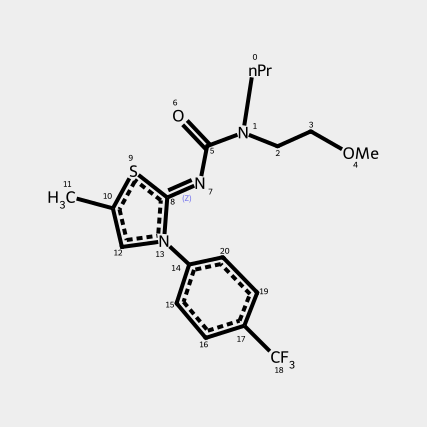 CCCN(CCOC)C(=O)/N=c1\sc(C)cn1-c1ccc(C(F)(F)F)cc1